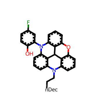 CCCCCCCCCCCCN1c2cccc3c2C2c4c(cccc4N(c4cc(F)ccc4O)c4cccc1c42)O3